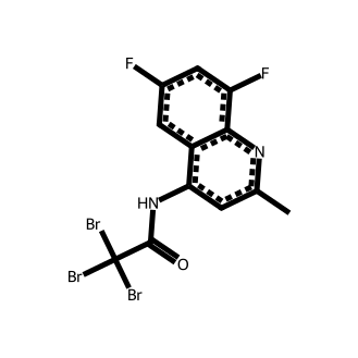 Cc1cc(NC(=O)C(Br)(Br)Br)c2cc(F)cc(F)c2n1